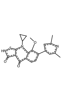 COc1c(-c2cc(C)nc(C)c2)ccc2c(=O)c3c(=O)[nH]sc3n(C3CC3)c12